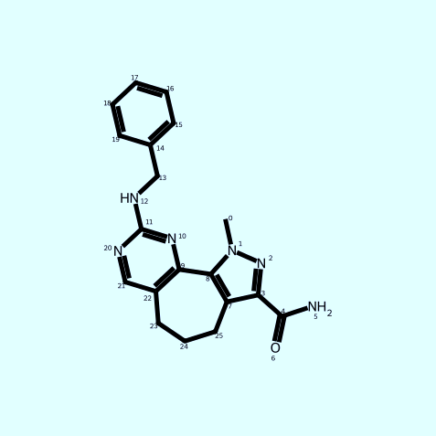 Cn1nc(C(N)=O)c2c1-c1nc(NCc3ccccc3)ncc1CCC2